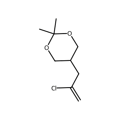 C=C(Cl)CC1COC(C)(C)OC1